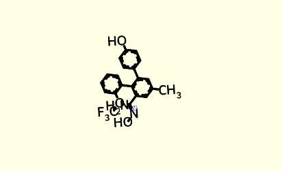 Cc1cc(/C(N)=N/O)c(-c2ccccc2OC(F)(F)F)c(-c2ccc(O)cc2)c1